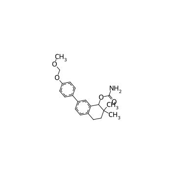 COCOc1ccc(-c2ccc3c(c2)C(OC(N)=O)C(C)(C)CC3)cc1